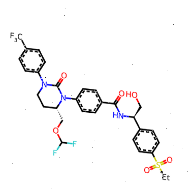 CCS(=O)(=O)c1ccc([C@H](CO)NC(=O)c2ccc(N3C(=O)N(c4ccc(C(F)(F)F)cc4)CC[C@H]3COC(F)F)cc2)cc1